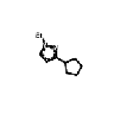 CCn1ccc(C2CCCC2)n1